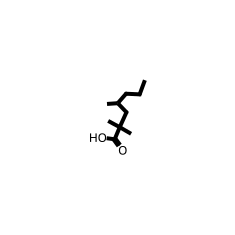 CCCC(C)CC(C)(C)C(=O)O